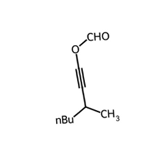 CCCCC(C)C#COC=O